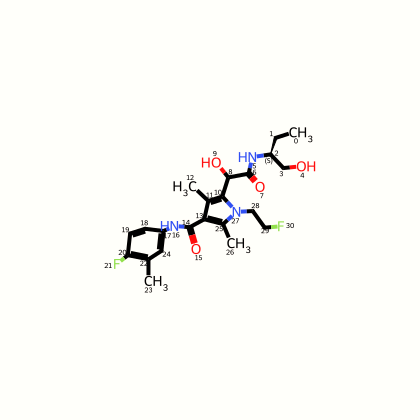 CC[C@@H](CO)NC(=O)C(O)c1c(C)c(C(=O)Nc2ccc(F)c(C)c2)c(C)n1CCF